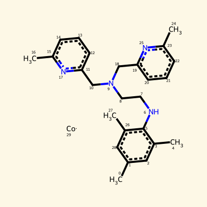 Cc1cc(C)c(NCCN(Cc2cccc(C)n2)Cc2cccc(C)n2)c(C)c1.[Co]